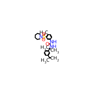 C=C(C)c1cccc(C(C)(C)NC(=O)Nc2ccc(C)c(S(=O)(=O)N3CCCCCC3)c2)c1